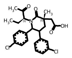 CC[C@@H](C(C)=O)N1C(=O)[C@](C)(CC(=O)O)CC(c2cccc(Cl)c2)C1c1ccc(Cl)cc1